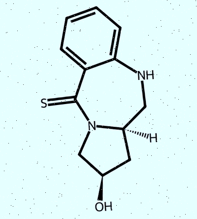 O[C@@H]1C[C@@H]2CNc3ccccc3C(=S)N2C1